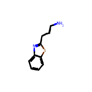 NCCCc1nc2ccccc2s1